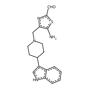 Nc1sc(C=O)nc1CN1CCC(c2c[nH]c3ccccc23)CC1